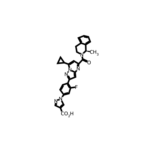 C[C@@H]1c2ccccc2CCN1C(=O)c1cc(C2CC2)n2nc(-c3ccc(-n4cc(C(=O)O)cn4)cc3F)cc2n1